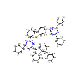 c1ccc(-c2nc(-c3ccccc3)nc(-c3ccc4c(c3)sc3c(-c5nc(-c6ccccc6)nc(-n6c7ccccc7c7c(-c8ccccc8)cccc76)n5)cccc34)n2)cc1